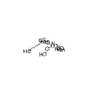 C#CCCCC/C=C/C(=O)NC1(c2ccc(-c3nc4ccn5c(=O)[nH]nc5c4cc3-c3ccccc3)cc2)CCC1.Cl